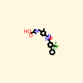 Cc1cc(-c2noc(-c3ccc(C4CCCCC4)c(C(F)(F)F)c3)n2)ccc1CN1CC(C(=O)O)C1